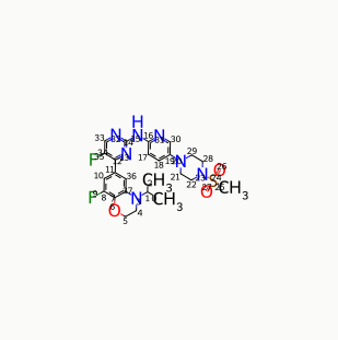 CC(C)N1CCOc2c(F)cc(-c3nc(Nc4ccc(N5CCN(S(C)(=O)=O)CC5)cn4)ncc3F)cc21